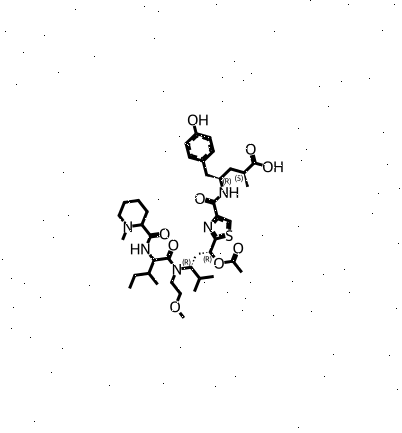 CCC(C)C(NC(=O)C1CCCCN1C)C(=O)N(CCOC)[C@H](C[C@@H](OC(C)=O)c1nc(C(=O)N[C@@H](Cc2ccc(O)cc2)C[C@H](C)C(=O)O)cs1)C(C)C